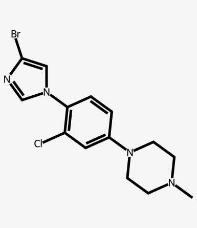 CN1CCN(c2ccc(-n3cnc(Br)c3)c(Cl)c2)CC1